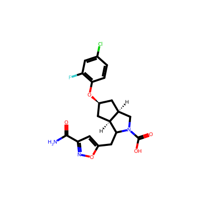 NC(=O)c1cc(CC2[C@H]3C[C@@H](Oc4ccc(Cl)cc4F)C[C@H]3CN2C(=O)O)on1